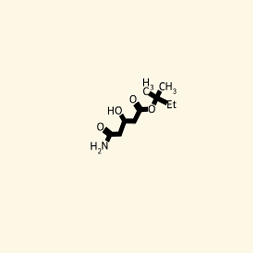 CCC(C)(C)OC(=O)CC(O)CC(N)=O